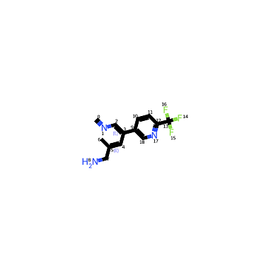 C=N/C=C(\C=C(/C)CN)c1ccc(C(F)(F)F)nc1